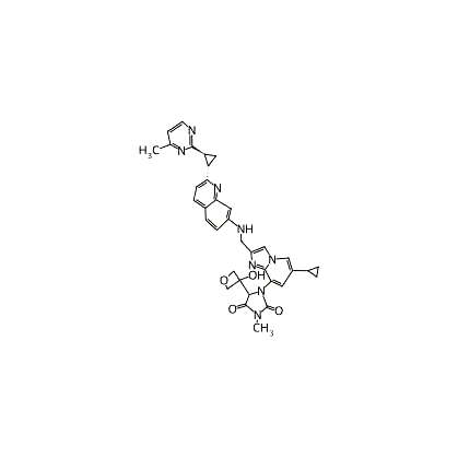 Cc1ccnc([C@H]2C[C@@H]2c2ccc3ccc(NCc4cn5cc(C6CC6)cc(N6C(=O)N(C)C(=O)C6C6(O)COC6)c5n4)cc3n2)n1